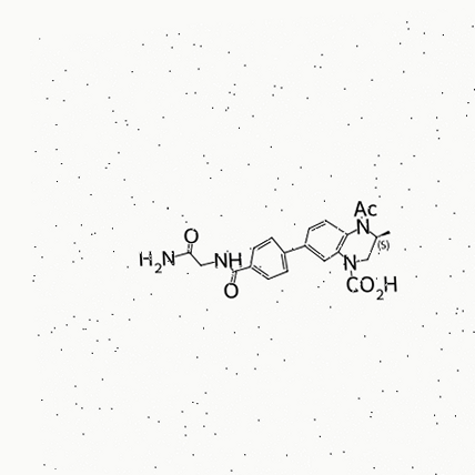 CC(=O)N1c2ccc(-c3ccc(C(=O)NCC(N)=O)cc3)cc2N(C(=O)O)C[C@@H]1C